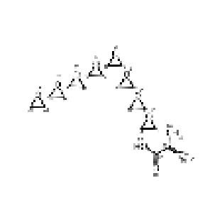 C1CO1.C1CO1.C1CO1.C1CO1.C1CO1.C1CO1.C1CO1.C1CO1.C=C(C)C(=O)O